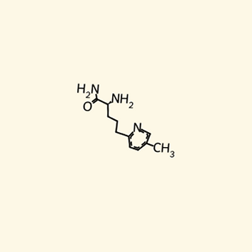 Cc1ccc(CCC[C@H](N)C(N)=O)nc1